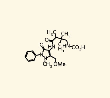 COCc1c(NC(=O)C(C)C(C)(C)CNC(=O)O)c(=O)n(-c2ccccc2)n1C